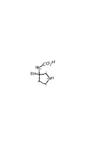 CCC1(NC(=O)O)CCNC1